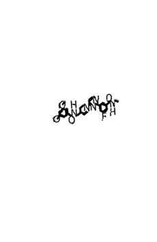 CCNC(=O)c1cc(F)cc(-c2nccc(N3CCC(CNC(=O)c4cc(OC)cc(OC)c4)CC3)n2)c1